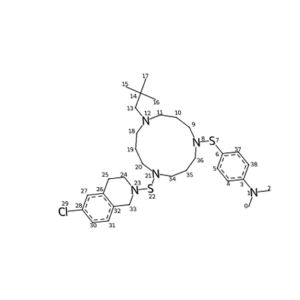 CN(C)c1ccc(SN2CCCN(CC(C)(C)C)CCCN(SN3CCc4cc(Cl)ccc4C3)CCC2)cc1